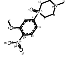 COc1cc(P2(=O)CCN(C)CC2)ccc1[N+](=O)[O-]